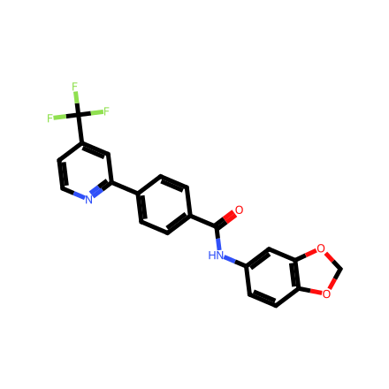 O=C(Nc1ccc2c(c1)OCO2)c1ccc(-c2cc(C(F)(F)F)ccn2)cc1